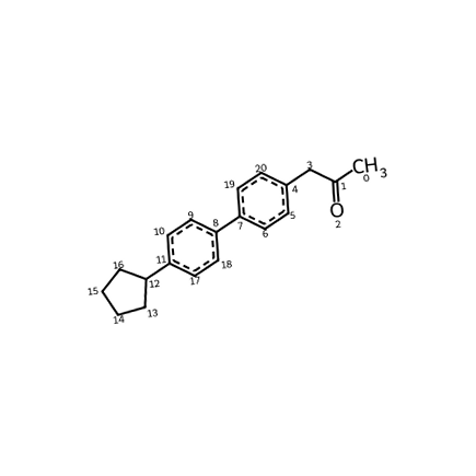 CC(=O)Cc1ccc(-c2ccc(C3CCCC3)cc2)cc1